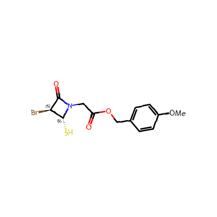 COc1ccc(COC(=O)CN2C(=O)[C@H](Br)[C@H]2S)cc1